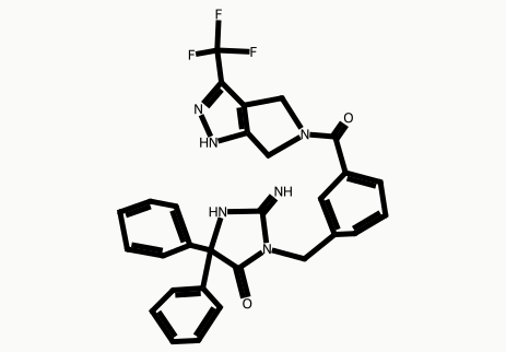 N=C1NC(c2ccccc2)(c2ccccc2)C(=O)N1Cc1cccc(C(=O)N2Cc3[nH]nc(C(F)(F)F)c3C2)c1